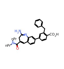 CCCN(CCC)C(=O)C1=Cc2ccc(-c3ccc(C(=O)O)c(Cc4ccccc4)c3)cc2N=C(N)C1